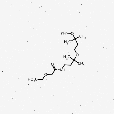 CCCOC(C)(C)CCOC(C)(C)CCNC(=O)COCC(=O)O